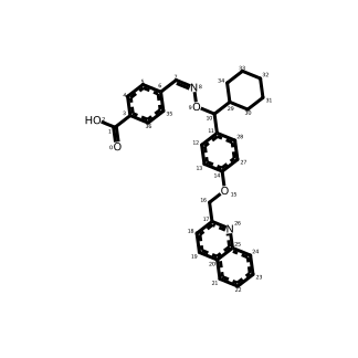 O=C(O)c1ccc(/C=N\OC(c2ccc(OCc3ccc4ccccc4n3)cc2)C2CCCCC2)cc1